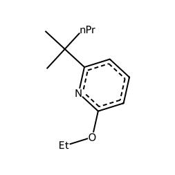 CCCC(C)(C)c1cccc(OCC)n1